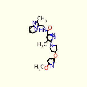 COc1ccc(OC2CCN(c3nnc(C(=O)NCc4c(C)nc5ccccn45)cc3C)CC2)cn1